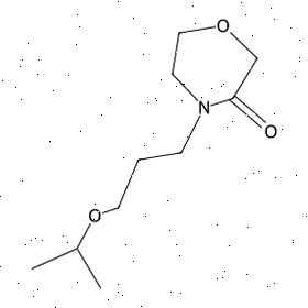 CC(C)OCCCN1CCOCC1=O